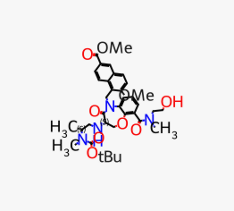 COC(=O)c1ccc2c(CN3C(=O)[C@@H](NC[C@H](C)N(C)C(=O)OC(C)(C)C)COc4c(C(=O)N(C)CCO)cccc43)c(OC)ccc2c1